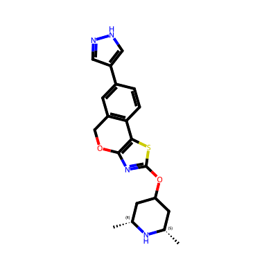 C[C@@H]1CC(Oc2nc3c(s2)-c2ccc(-c4cn[nH]c4)cc2CO3)C[C@H](C)N1